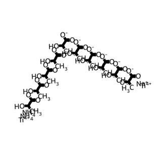 CC(O)C(=O)[O-].CC(O)C(=O)[O-].CC(O)C(=O)[O-].CC(O)C(=O)[O-].CC(O)C(=O)[O-].CC(O)C(=O)[O-].CC(O)C(=O)[O-].CC(O)C(=O)[O-].CC(O)C(=O)[O-].CC([O-])C(=O)[O-].[NH4+].[NH4+].[Na+].[Ti+4].[Ti+4]